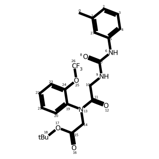 Cc1cccc(NC(=O)NCC(=O)N(CC(=O)OC(C)(C)C)c2ccccc2OC(F)(F)F)c1